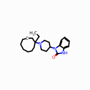 CCC1(N2CCC(n3c(=O)[nH]c4ccccc43)CC2)CCCCCCCC1